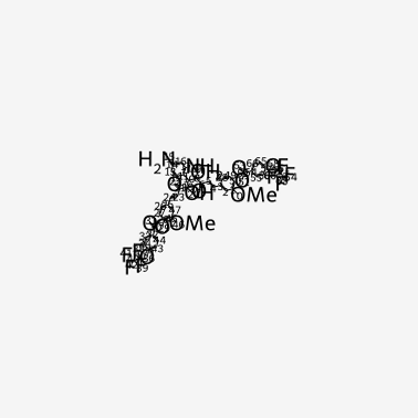 COc1cc(/C=C/C(=O)C(O)C(c2ccc(N)cc2N)C(O)C(=O)/C=C/c2ccc(OC(=O)c3ccc(OC(F)(F)C(F)F)cc3)c(OC)c2)ccc1OC(=O)c1ccc(OC(F)(F)C(F)F)cc1